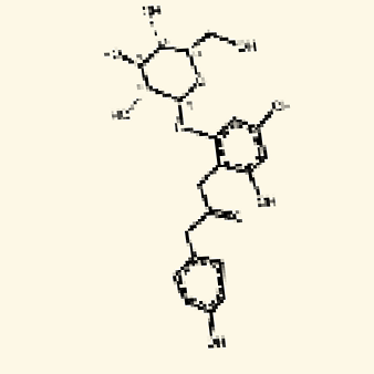 O=C(Cc1ccc(O)cc1)Cc1c(O)cc(O)cc1O[C@@H]1O[C@H](CO)[C@@H](O)[C@H](O)[C@H]1O